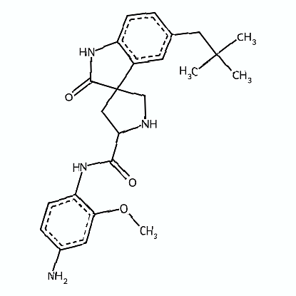 COc1cc(N)ccc1NC(=O)C1CC2(CN1)C(=O)Nc1ccc(CC(C)(C)C)cc12